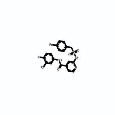 CC(C)c1ccc(CS(=O)(=O)Nc2cc(C(=O)Nc3ccc(F)c(Cl)c3)ccn2)cc1